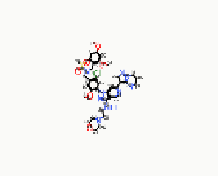 COc1ccc(CN(Cc2cc(OC)c(-n3nc(NCCN4CCOCC4)c4cnc(-c5cnn6cccnc56)cc43)cc2Cl)S(C)(=O)=O)c(OC)c1